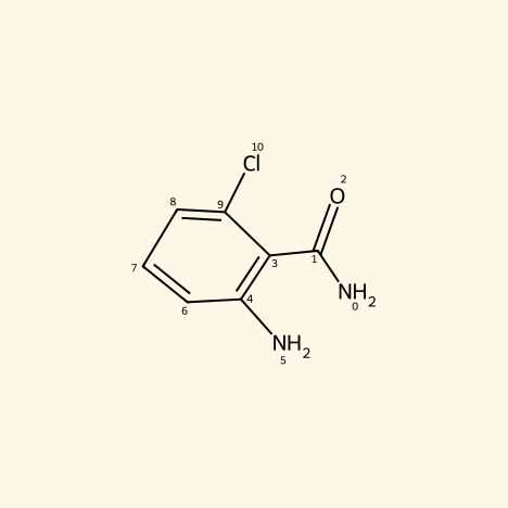 NC(=O)c1c(N)cccc1Cl